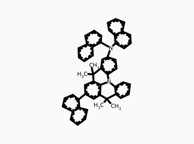 CC1(C)c2ccccc2N2c3ccc(N(c4cccc5ccccc45)c4cccc5ccccc45)cc3C(C)(C)c3cc(-c4cccc5ccccc45)cc1c32